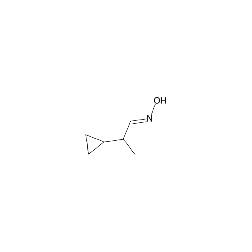 CC(C=NO)C1CC1